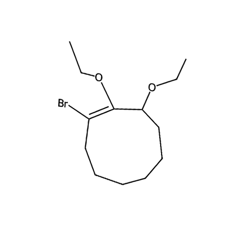 CCOC1=C(Br)CCCCCCC1OCC